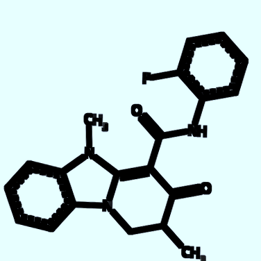 CC1CN2C(=C(C(=O)Nc3ccccc3F)C1=O)N(C)c1ccccc12